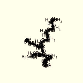 CC[C@@]1(O)C(=O)OCc2c1cc1n(c2=O)Cc2c-1nc1cc(F)c(C)c3c1c2[C@@H](NC(=O)O[C@@H](CNC(=O)CC[C@H](NC(=O)COCCOCCNC(=O)CCN1C(=O)C=CC1=O)C(=O)NCC(=O)N(C)CC(=O)NCC(=O)N(C)CC(=O)NCC(=O)N(C)CC(=O)NCC(=O)N(C)CC(=O)NCC(=O)N(C)CC(N)=O)c1ccc(NC(=O)[C@H](C)NC(=O)[C@@H](NC(C)=O)C(C)C)cc1)CC3